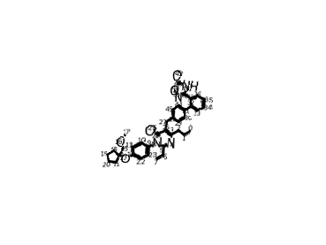 CCCc1nc(CC)n(-c2ccc(OC3(COC)CCCC3)cc2)c(=O)c1Cc1ccc(-c2ccccc2-c2noc(=O)[nH]2)cc1